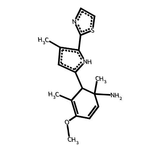 COC1=C(C)C(c2cc(C)c(-c3nccs3)[nH]2)C(C)(N)C=C1